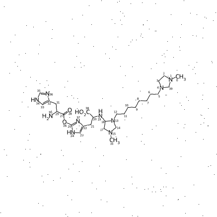 CN1CCN(CCCCCCCCN2CN(C)CC2NC(Cc2c[nH]c(OC(=O)C(N)Cc3c[nH]cn3)n2)C(=O)O)C1